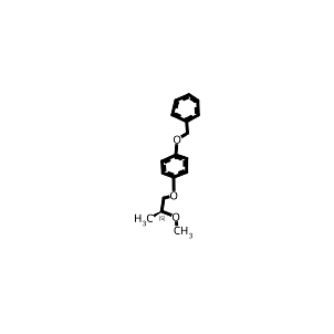 CO[C@@H](C)COc1ccc(OCc2ccccc2)cc1